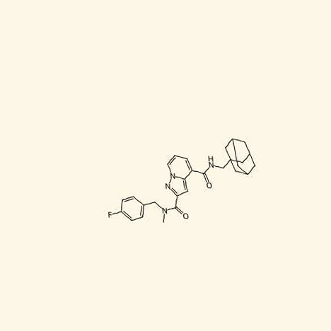 CN(Cc1ccc(F)cc1)C(=O)c1cc2c(C(=O)NCC34CC5CC(CC(C5)C3)C4)cccn2n1